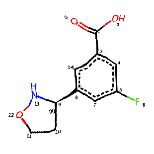 O=C(O)c1cc(F)cc([C@H]2CCON2)c1